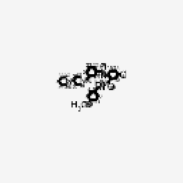 COc1ccc(/C=N/NC(=O)c2cc(Cl)ccc2NC(=O)c2cccc(CN3CCC(N4CCCCC4)CC3)c2)cc1